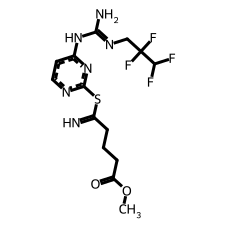 COC(=O)CCCC(=N)Sc1nccc(NC(N)=NCC(F)(F)C(F)F)n1